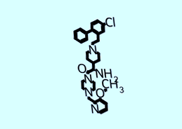 CCOc1cccnc1CN1CCN(C(=O)[C@H](N)C2CCN(CCc3cc(Cl)ccc3-c3ccccc3)CC2)CC1